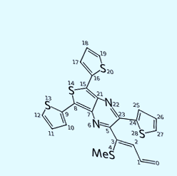 C=C/C=C(\SC)c1nc2c(-c3cccs3)sc(-c3cccs3)c2nc1-c1cccs1